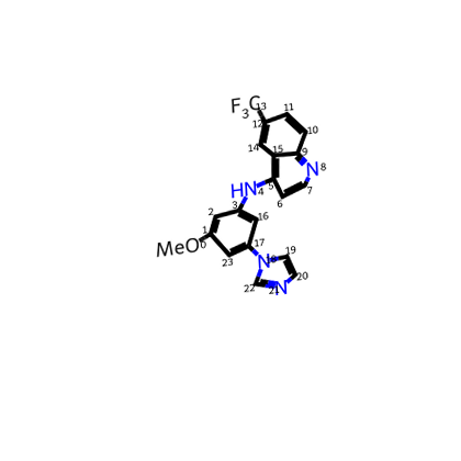 COc1cc(Nc2ccnc3ccc(C(F)(F)F)cc23)cc(-n2ccnc2)c1